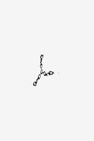 O=Cc1ccc(OC(=O)c2ccc(-c3cc(-c4ccc(C(=O)Oc5ccc(O)cc5)cc4)cc(-c4ccc(C(=O)Oc5ccc(C=O)cc5)cc4)c3)cc2)cc1